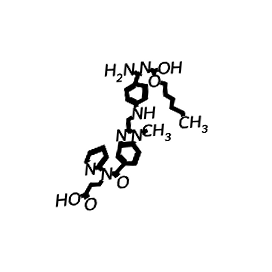 CCCCCCOC(O)/N=C(/N)c1ccc(NCc2nc3cc(C(=O)N(CCC(=O)O)c4ccccn4)ccc3n2C)cc1